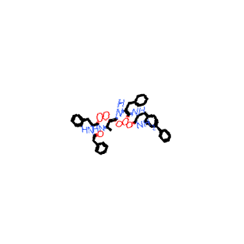 CC(NC(=O)C(Cc1ccccc1)NC(=O)Cc1ccccc1)C(=O)C(=O)NC(CC1CCCCC1)C(=O)NC(Cc1ccc(-c2ccccc2)cc1)C(N)=O